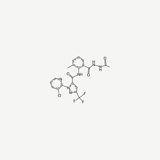 CC(=O)NNC(=O)c1cccc(C)c1NC(=O)c1cc(C(F)(F)F)nn1-c1ncccc1Cl